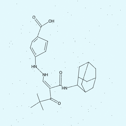 CC(C)(C)C(=O)/C(=C/NNc1ccc(C(=O)O)cc1)C(=O)NC1C2CC3CC(C2)CC1C3